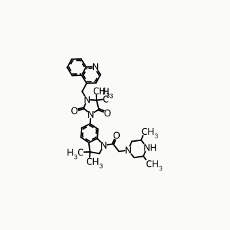 CC1CN(CC(=O)N2CC(C)(C)c3ccc(N4C(=O)N(Cc5ccnc6ccccc56)C(C)(C)C4=O)cc32)CC(C)N1